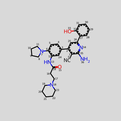 N#Cc1c(-c2ccc(N3CCCC3)c(NC(=O)CCN3CCCCC3)c2)cc(-c2ccccc2O)nc1N